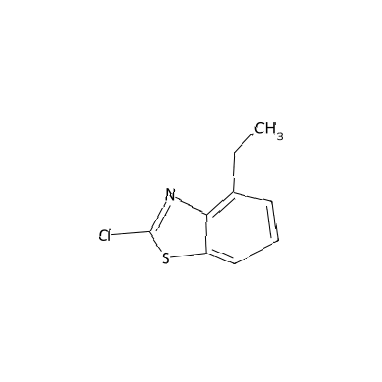 CCc1cccc2sc(Cl)nc12